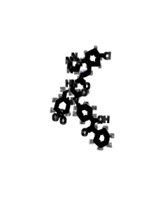 O=C(/C=C/c1cc(Cl)ccc1-n1cnnn1)N[C@@H](CC1CCS(=O)(=O)CC1)C(=O)Nc1ccc(C(O)C(=O)c2ccccc2)cc1